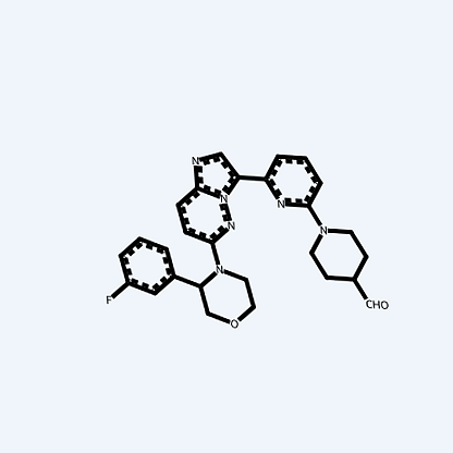 O=CC1CCN(c2cccc(-c3cnc4ccc(N5CCOCC5c5cccc(F)c5)nn34)n2)CC1